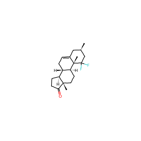 C[C@@H]1CC2=CC[C@@H]3[C@H](CC[C@]4(C)C(=O)CC[C@@H]34)[C@@]2(C)C(F)(F)C1